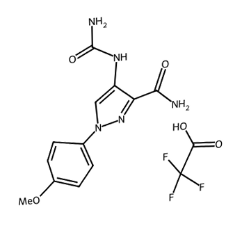 COc1ccc(-n2cc(NC(N)=O)c(C(N)=O)n2)cc1.O=C(O)C(F)(F)F